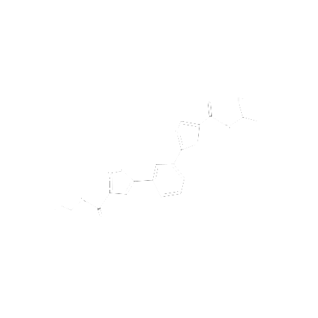 CCOC(=O)CNC(=O)c1cc(-c2cccc(-c3ncc(C(=O)NC(C(=O)OCC)C(C)C)o3)c2)[nH]n1